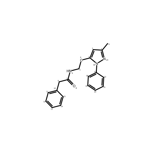 Cc1cc(OCNC(=O)Cc2ccccc2)n(-c2ccccc2)n1